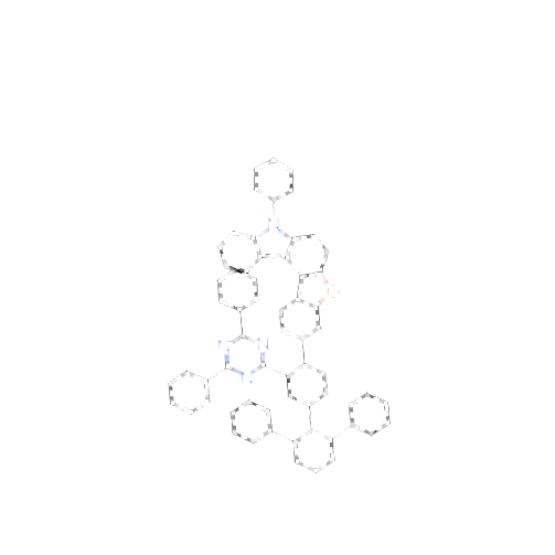 c1ccc(-c2nc(-c3ccccc3)nc(-c3cc(-c4c(-c5ccccc5)cccc4-c4ccccc4)ccc3-c3ccc4c(c3)oc3ccc5c(c6ccccc6n5-c5ccccc5)c34)n2)cc1